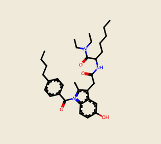 CCCCCC(NC(=O)Cc1c(C)n(C(=O)c2ccc(CCCC)cc2)c2ccc(O)cc12)C(=O)N(CC)CC